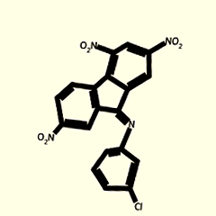 O=[N+]([O-])c1ccc2c(c1)C(=Nc1cccc(Cl)c1)c1cc([N+](=O)[O-])cc([N+](=O)[O-])c1-2